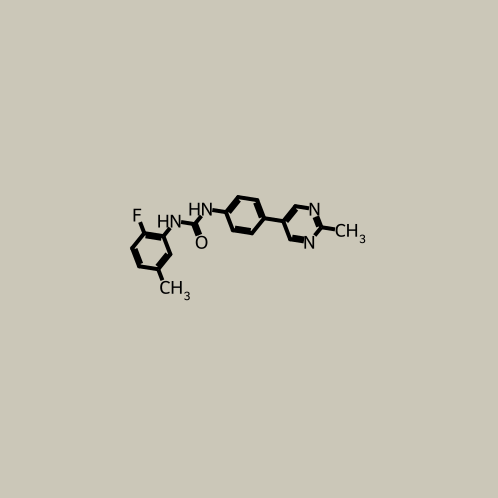 Cc1ccc(F)c(NC(=O)Nc2ccc(-c3cnc(C)nc3)cc2)c1